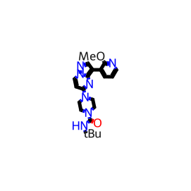 COc1ncccc1-c1cnn2ccc(N3CCN(C(=O)NC(C)(C)C)CC3)nc12